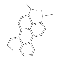 CC(C)c1ccc2c3cccc4cccc(c5ccc(C(C)C)c1c25)c43